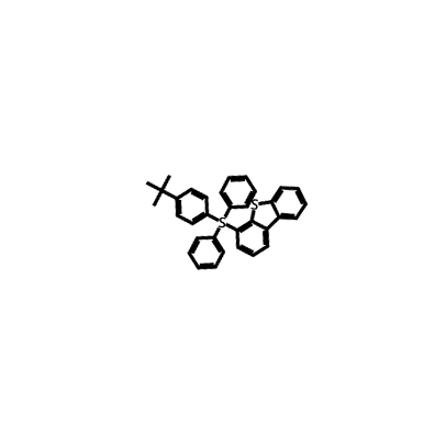 CC(C)(C)c1ccc(S(c2ccccc2)(c2ccccc2)c2cccc3c2sc2ccccc23)cc1